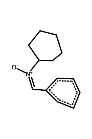 [O-]/[N+](=C/c1ccccc1)C1CCCCC1